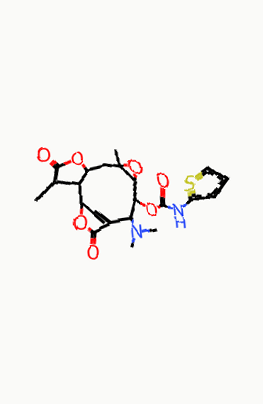 CC1C(=O)OC2CC3(C)OC3C(OC(=O)Nc3cccs3)C(N(C)C)C3=CC(OC3=O)C21